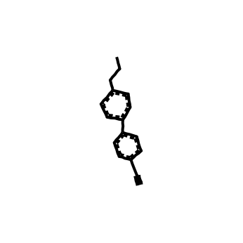 C#Cc1ccc(-c2ccc(CCC)cc2)cc1